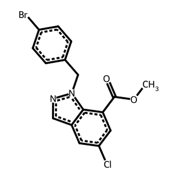 COC(=O)c1cc(Cl)cc2cnn(Cc3ccc(Br)cc3)c12